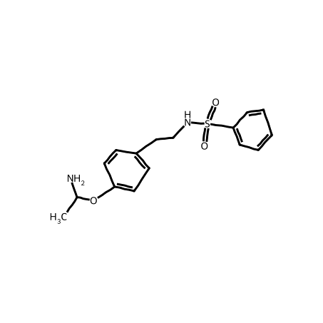 CC(N)Oc1ccc(CCNS(=O)(=O)c2ccccc2)cc1